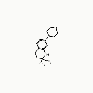 CC1(C)CCc2ccc(N3CCOCC3)cc2N1